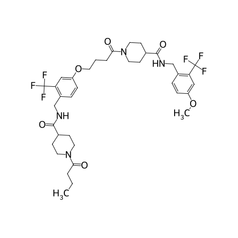 CCCC(=O)N1CCC(C(=O)NCc2ccc(OCCCC(=O)N3CCC(C(=O)NCc4ccc(OC)cc4C(F)(F)F)CC3)cc2C(F)(F)F)CC1